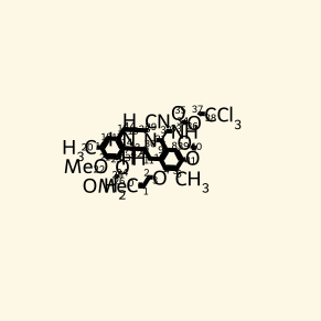 C=CCOc1c(C)c2c(c3c1C[C@H]1[C@@H]4N[C@H](Cc5cc(C)c(OC)c(OCOC)c54)[C@H](C#N)N1[C@H]3CNC(=O)OCC(Cl)(Cl)Cl)OCO2